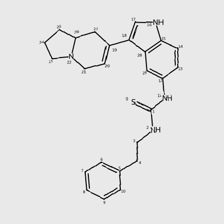 S=C(NCCc1ccccc1)Nc1ccc2[nH]cc(C3=CCN4CCCC4C3)c2c1